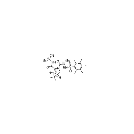 CC[C@@H](C#N)NC(=O)[C@@H]1[C@@H]2[C@H](CN1C(=O)[C@@H](NS(=O)(=O)c1c(C)c(C)c(C)c(C)c1C)C(C)(C)C)C2(C)C